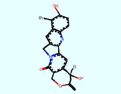 C=C1OCc2c(cc3n(c2=O)Cc2cc4c(C(C)C)c(O)ccc4nc2-3)[C@@]1(O)CC